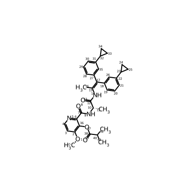 COc1ccnc(C(=O)N[C@@H](C)C(=O)NC(C)=C(c2cccc(C3CC3)c2)c2cccc(C3CC3)c2)c1OC(=O)C(C)C